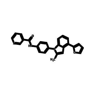 Cc1cc2c(-c3ccco3)cccc2n1-c1ccc(NC(=O)c2cccnc2)cc1